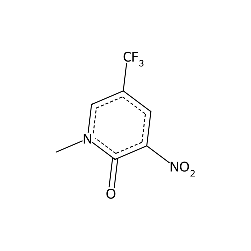 Cn1cc(C(F)(F)F)cc([N+](=O)[O-])c1=O